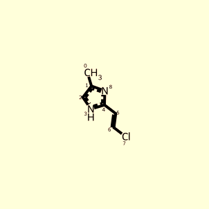 Cc1c[nH]c(C=CCl)n1